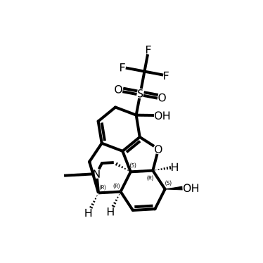 CN1CC[C@]23C4=C5O[C@H]2[C@@H](O)C=C[C@H]3[C@H]1CC4=CCC5(O)S(=O)(=O)C(F)(F)F